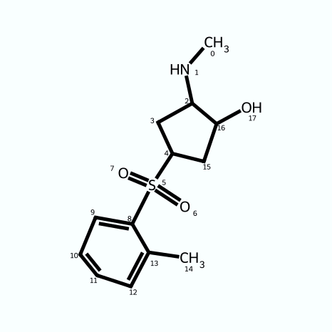 CNC1CC(S(=O)(=O)c2ccccc2C)CC1O